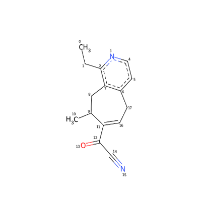 CCc1nccc2c1CC(C)C(C(=O)C#N)=CC2